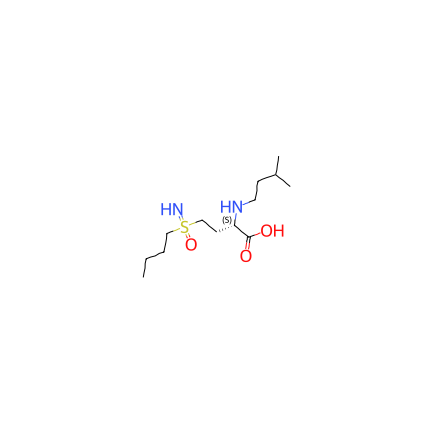 CCCCS(=N)(=O)CC[C@H](NCCC(C)C)C(=O)O